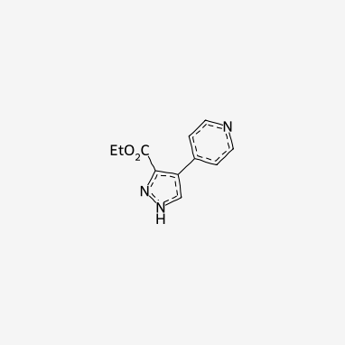 CCOC(=O)c1n[nH]cc1-c1ccncc1